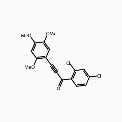 COc1cc(OC)c(OC)cc1C#CC(=O)c1ccc(Cl)cc1Cl